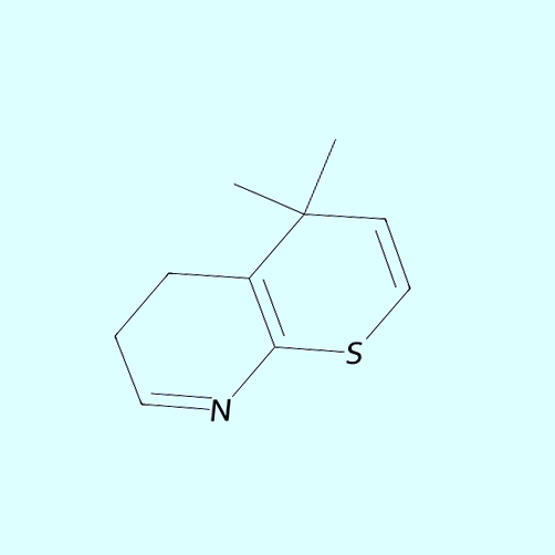 CC1(C)C=CSC2=C1CCC=N2